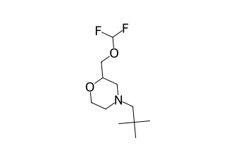 CC(C)(C)CN1CCOC(COC(F)F)C1